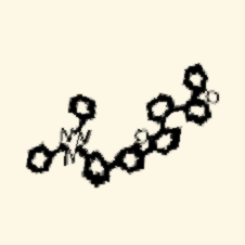 c1ccc(-c2nc(-c3ccccc3)nc(-c3cccc(-c4ccc5c(c4)oc4c(-c6ccccc6-c6cccc7oc8ccccc8c67)cccc45)c3)n2)cc1